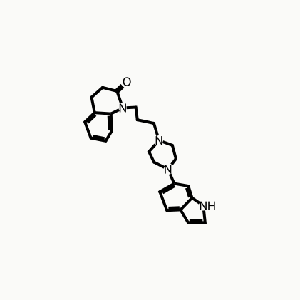 O=C1CCc2ccccc2N1CCCN1CCN(c2ccc3cc[nH]c3c2)CC1